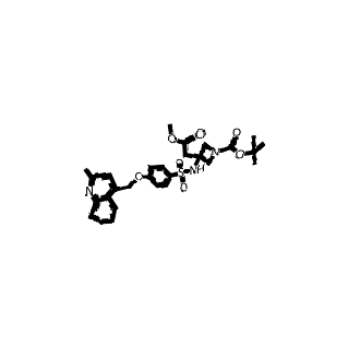 COC(=O)CC1(NS(=O)(=O)c2ccc(OCc3cc(C)nc4ccccc34)cc2)CN(C(=O)OC(C)(C)C)C1